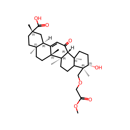 COC(=O)COC[C@@]1(C)C2CC[C@]3(C)[C@H](C(=O)C=C4[C@@H]5C[C@@](C)(C(=O)O)CC[C@]5(C)CC[C@]43C)[C@@]2(C)CC[C@@H]1O